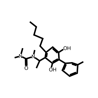 CCCCCc1cc(O)c(-c2cccc(C)c2)c(O)c1C(C)N(C)C(=O)N(C)C